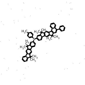 Cc1ccc(N(c2ccc3c(c2)C(C)(C)c2cc4c(cc2-3)C(C)(C)c2ccccc2-4)c2ccc3c(c2)C(C)(C)c2cc4c(cc2-3)C(C)(C)c2cc(-c3ccccc3)c3ccccc3c2-4)cc1